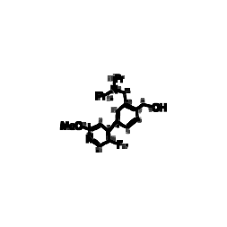 COc1cc(-c2ccc(CO)c(CN(C(C)C)C(C)C)c2)c(F)cn1